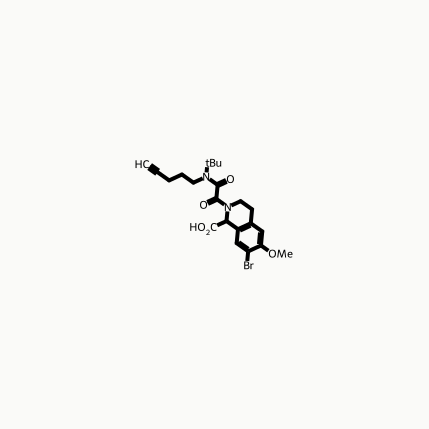 C#CCCCN(C(=O)C(=O)N1CCc2cc(OC)c(Br)cc2C1C(=O)O)C(C)(C)C